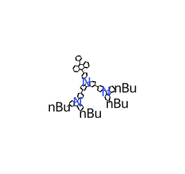 CCCCc1ccc2c(c1)c1cc(CCCC)ccc1n2-c1ccc(-c2ccc3c(c2)c2cc(-c4ccc(-n5c6ccc(CCCC)cc6c6cc(CCCC)ccc65)cc4)ccc2n3-c2ccc(-c3c4ccccc4c(-c4ccccc4)c4ccccc34)cc2)cc1